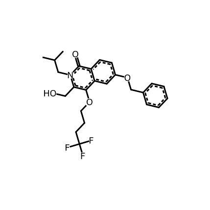 CC(C)Cn1c(CO)c(OCCCC(F)(F)F)c2cc(OCc3ccccc3)ccc2c1=O